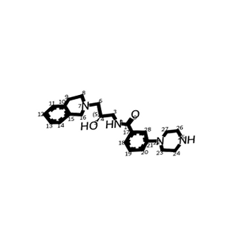 O=C(NC[C@H](O)CN1CCc2ccccc2C1)c1cccc(N2CCNCC2)c1